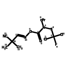 CCCN(SC(F)(Cl)Cl)C(=O)ON=CC(C)(C)C#N